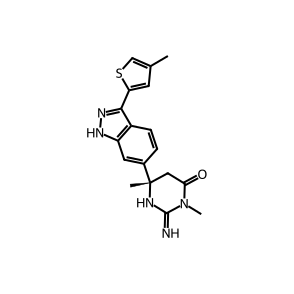 Cc1csc(-c2n[nH]c3cc([C@]4(C)CC(=O)N(C)C(=N)N4)ccc23)c1